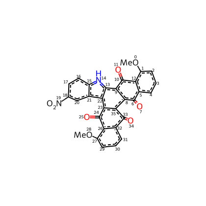 COc1cccc2c(=O)c3c(c(=O)c12)c1[nH]c2ccc([N+](=O)[O-])cc2c1c1c(=O)c2c(OC)cccc2c(=O)c31